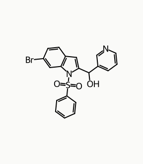 O=S(=O)(c1ccccc1)n1c(C(O)c2cccnc2)cc2ccc(Br)cc21